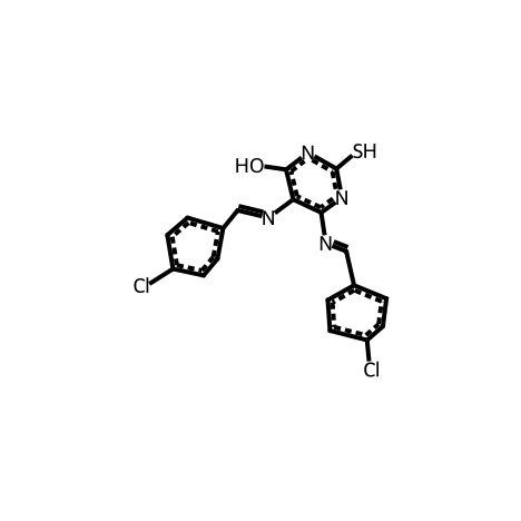 Oc1nc(S)nc(/N=C/c2ccc(Cl)cc2)c1/N=C/c1ccc(Cl)cc1